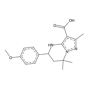 COc1ccc(C2CC(C)(C)n3nc(C)c(C(=O)O)c3N2)cc1